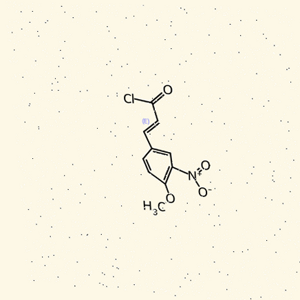 COc1ccc(/C=C/C(=O)Cl)cc1[N+](=O)[O-]